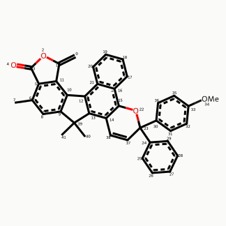 C=C1OC(=O)c2c(C)cc3c(c21)-c1c(c2c(c4ccccc14)OC(c1ccccc1)(c1ccc(OC)cc1)C=C2)C3(C)C